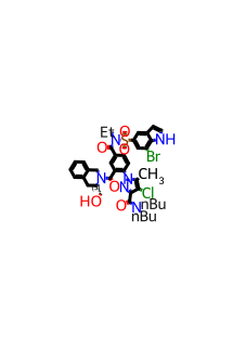 CCCCN(CCCC)C(=O)c1nn(-c2ccc(C(=O)N(CC)S(=O)(=O)c3cc(Br)c4[nH]ccc4c3)cc2C(=O)N2Cc3ccccc3C[C@H]2CO)c(C)c1Cl